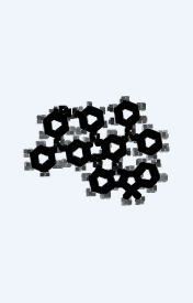 CC(C)(C)c1cccc(N2c3cc(N(c4ccccc4)c4ccccc4)ccc3B3c4c2cc(N(c2ccccc2)c2ccccc2)cc4-n2c4c(c5cccc3c52)C(C)(C)c2ccccc2-4)c1